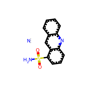 NS(=O)(=O)c1cccc2nc3ccccc3cc12.[N]